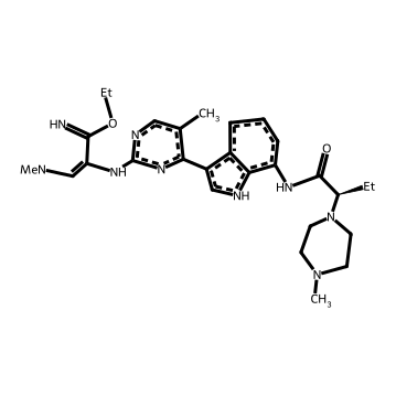 CCOC(=N)/C(=C\NC)Nc1ncc(C)c(-c2c[nH]c3c(NC(=O)[C@@H](CC)N4CCN(C)CC4)cccc23)n1